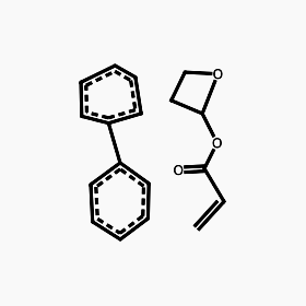 C=CC(=O)OC1CCO1.c1ccc(-c2ccccc2)cc1